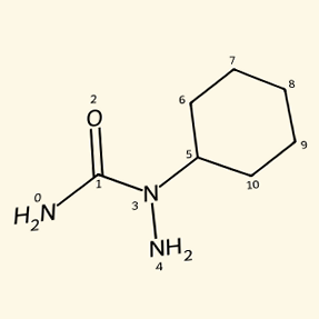 NC(=O)N(N)C1CCCCC1